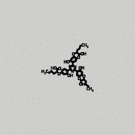 CCCCC(Oc1ccc(-c2nc(-c3ccc(OC(CCCC)C(=O)O)cc3O)nc(-c3ccc(OC(CCCC)C(=O)O)cc3O)n2)c(O)c1)C(=O)O